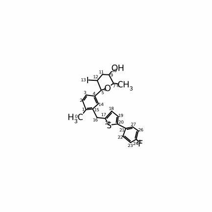 Cc1ccc(C2OC(C)C(O)CC2I)cc1Cc1ccc(-c2ccc(F)cc2)s1